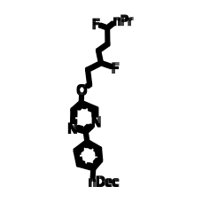 CCCCCCCCCCc1ccc(-c2ncc(OCCC(F)CCC(F)CCC)cn2)cc1